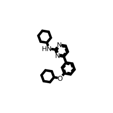 c1cc(OC2CCCCC2)cc(-c2ccnc(NC3CCCCC3)n2)c1